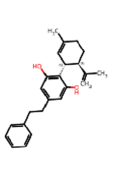 C=C(C)[C@@H]1CCC(C)=C[C@H]1c1c(O)cc(CCc2ccccc2)cc1O